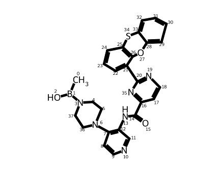 CB(O)N1CCN(c2ccncc2NC(=O)c2ccnc(-c3cccc4c3Oc3ccccc3S4)n2)CC1